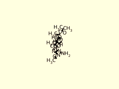 CCOc1nc(N)nc2c1ncn2[C@@H]1O[C@@H]2CO[P@@](=O)(N[C@H](C)COC(=O)C(C)C)O[C@H]2[C@@]1(C)Cl